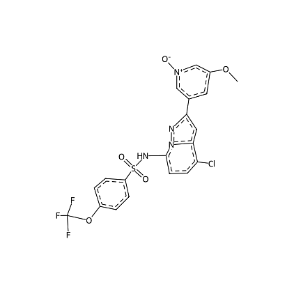 COc1cc(-c2cc3c(Cl)ccc(NS(=O)(=O)c4ccc(OC(F)(F)F)cc4)n3n2)c[n+]([O-])c1